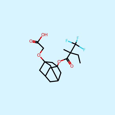 CCC(C)(C(=O)OC12CC3CC(CC(OCC(=O)O)(C3)C1)C2)C(F)(F)F